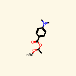 CCCCOC(C)OC(=O)c1ccc(N(C)C)cc1